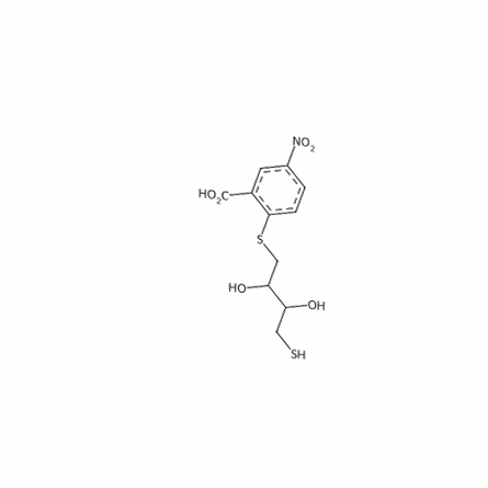 O=C(O)c1cc([N+](=O)[O-])ccc1SCC(O)C(O)CS